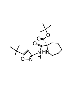 CC(C)(C)OC(=O)[C@]1(C(=O)Nc2cc(C(C)(C)C)on2)CCCCCN1